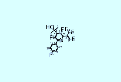 CC(C)(O)c1c(F)c(C(=CF)C(F)F)nc(-c2ccc(F)cc2)c1F